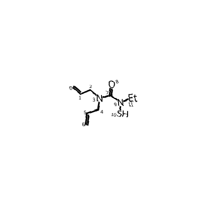 C=CCN(CC=C)C(=O)N(S)CC